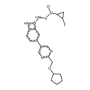 [O-][S+](SNn1[nH]c2ccc(-c3cnc(COC4CCCC4)nc3)cc21)C1CC1F